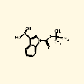 CC(C)(C)OC(=O)n1cc(B(O)O)c2ccccc21